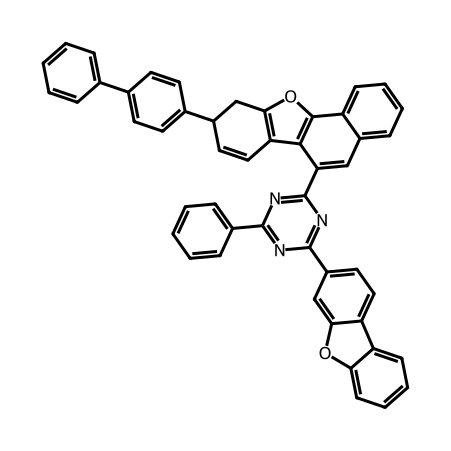 C1=CC(c2ccc(-c3ccccc3)cc2)Cc2oc3c(c(-c4nc(-c5ccccc5)nc(-c5ccc6c(c5)oc5ccccc56)n4)cc4ccccc43)c21